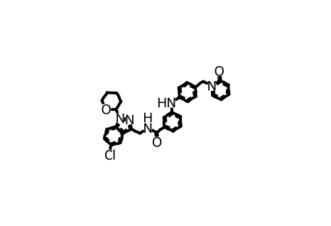 O=C(NCc1nn(C2CCCCO2)c2ccc(Cl)cc12)c1cccc(Nc2ccc(Cn3ccccc3=O)cc2)c1